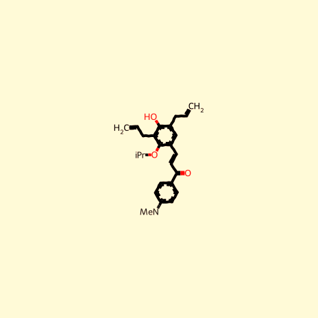 C=CCc1cc(C=CC(=O)c2ccc(NC)cc2)c(OC(C)C)c(CC=C)c1O